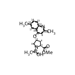 COC(=O)[C@@H]1C[C@@H](Oc2cc(C)nc3ccc(C)cc23)CN1B(C)O